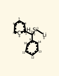 [Li][SiH2]C(c1ccccc1)c1ccccc1